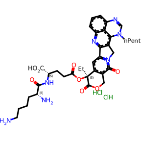 CCCCCN1C=Nc2cccc3nc4c(c1c23)Cn1c-4cc2c(c1=O)COC(=O)[C@@]2(CC)OC(=O)CC[C@H](NC(=O)[C@H](N)CCCCN)C(=O)O.Cl.Cl